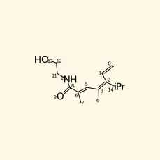 C=C/C(=C(C)\C=C(/C)C(=O)NCCO)C(C)C